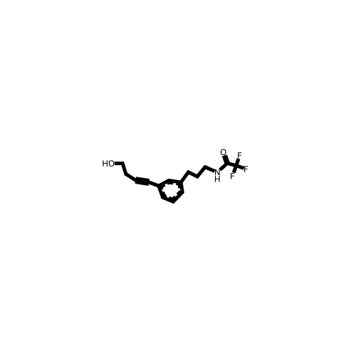 O=C(NCCCc1cccc(C#CCCO)c1)C(F)(F)F